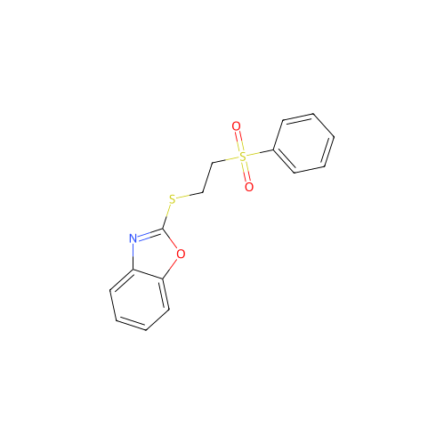 O=S(=O)(CCSc1nc2ccccc2o1)c1ccccc1